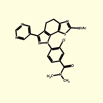 CC(=O)Nc1nc2c(s1)-c1c(c(-c3cncnc3)nn1-c1ccc(C(=O)N(C)C)cc1Cl)CC2